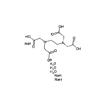 O.O.O.O=C(O)CN(CCN(CC(=O)O)CC(=O)O)CC(=O)O.[NaH].[NaH].[NaH]